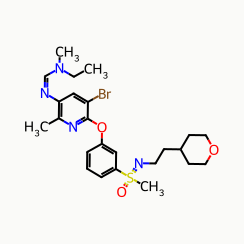 CCN(C)/C=N\c1cc(Br)c(Oc2cccc(S(C)(=O)=NCCC3CCOCC3)c2)nc1C